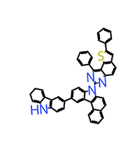 C1=c2[nH]c3ccc(-c4ccc5c(c4)c4c6ccccc6ccc4n5-c4nc(-c5ccccc5)c5c(ccc6cc(-c7ccccc7)sc65)n4)cc3c2=CCC1